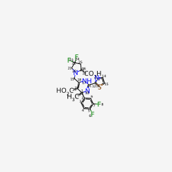 C[C@]1(c2ccc(F)c(F)c2)N=C(c2nccs2)NC(CN2CC(F)(F)C[C@H]2C(=O)O)=C1C(=O)O